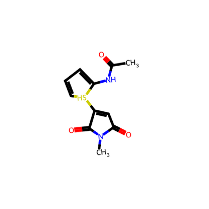 CC(=O)NC1=CC=C[SH]1C1=CC(=O)N(C)C1=O